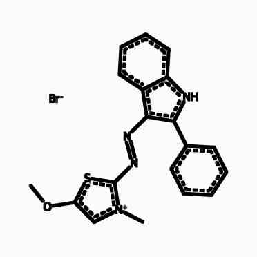 COc1c[n+](C)c(/N=N/c2c(-c3ccccc3)[nH]c3ccccc23)s1.[Br-]